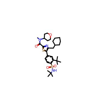 CN(C(=O)c1nc(CC2CCCCC2)c(-c2ccc(S(=O)(=O)NC(C)(C)C)c(C(C)(C)C)c2)s1)C1CCOCC1